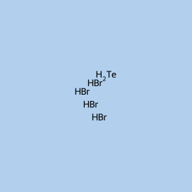 Br.Br.Br.Br.[TeH2]